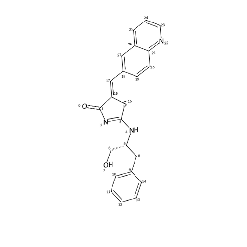 O=C1N=C(N[C@@H](CO)Cc2ccccc2)S/C1=C\c1ccc2ncccc2c1